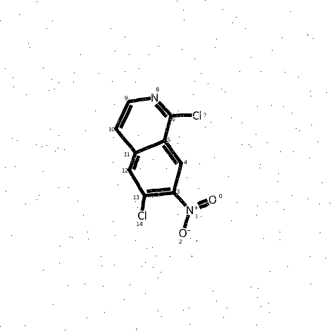 O=[N+]([O-])c1cc2c(Cl)nccc2cc1Cl